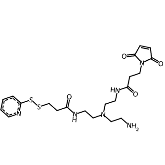 NCCN(CCNC(=O)CCSSc1ccccn1)CCNC(=O)CCN1C(=O)C=CC1=O